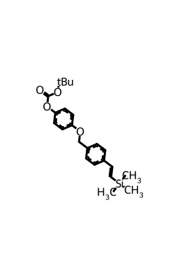 CC(C)(C)OC(=O)Oc1ccc(OCc2ccc(C=C[Si](C)(C)C)cc2)cc1